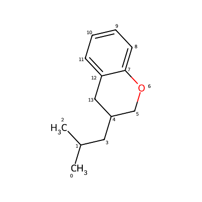 CC(C)CC1COc2ccccc2C1